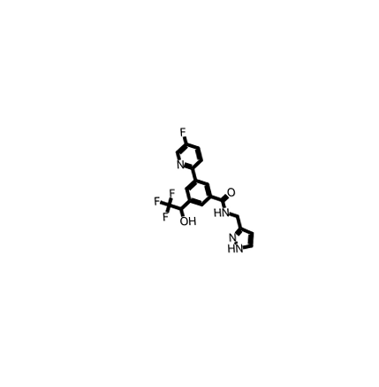 O=C(NCc1cc[nH]n1)c1cc(-c2ccc(F)cn2)cc(C(O)C(F)(F)F)c1